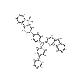 CC1(C)c2ccccc2-c2ccc(-c3ccc(N(c4ccc(-c5ccccc5)cc4)c4ccc5sc6ccccc6c5c4)cc3)cc21